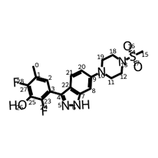 Cc1cc(-c2n[nH]c3cc(N4CCN(S(C)(=O)=O)CC4)ccc23)c(F)c(O)c1F